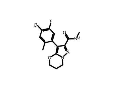 CNC(=O)c1nn2c(c1-c1cc(F)c(Cl)cc1C)OCCC2